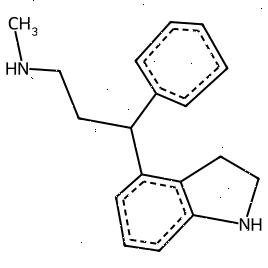 CNCCC(c1ccccc1)c1cccc2c1CCN2